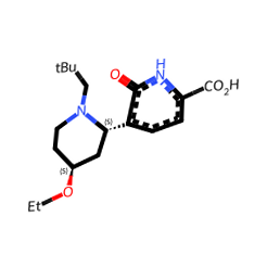 CCO[C@H]1CCN(CC(C)(C)C)[C@H](c2ccc(C(=O)O)[nH]c2=O)C1